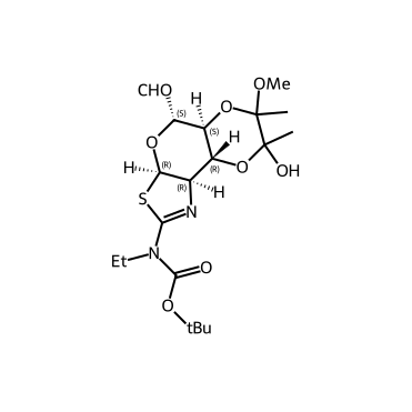 CCN(C(=O)OC(C)(C)C)C1=N[C@@H]2[C@H]3OC(C)(O)C(C)(OC)O[C@@H]3[C@@H](C=O)O[C@@H]2S1